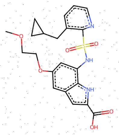 COCCOc1cc(NS(=O)(=O)c2ncccc2CC2CC2)c2[nH]c(C(=O)O)cc2c1